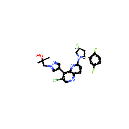 CC(C)(O)Cn1cc(-c2c(Cl)cnc3ccc(N4C[C@@H](F)C[C@@H]4c4cc(F)ccc4F)nc23)cn1